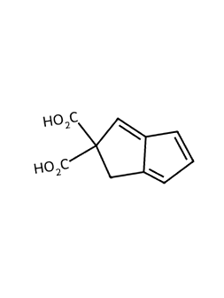 O=C(O)C1(C(=O)O)C=C2C=CC=C2C1